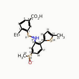 CCc1ccc(C(=O)O)cc1SNc1cc([S+](C)[O-])ccc1-c1ccc(C)s1